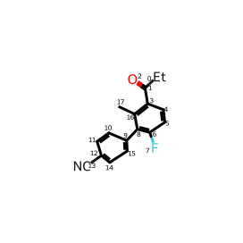 CCC(=O)c1ccc(F)c(-c2ccc(C#N)cc2)c1C